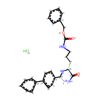 C[C@@H](N[C@H](CCCNC(=O)OCc1ccccc1)C(N)=O)c1ccc(-c2ccccc2)cc1.Cl